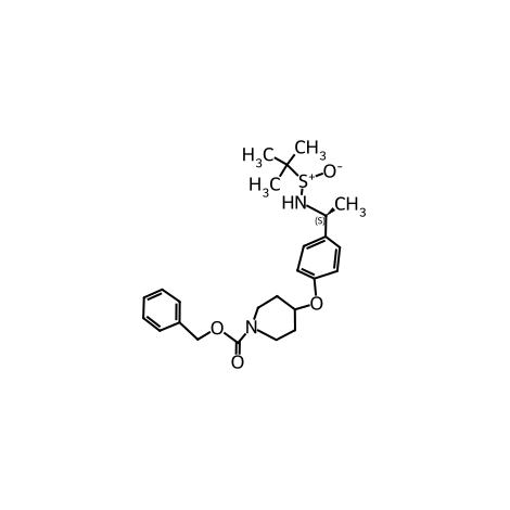 C[C@H](N[S+]([O-])C(C)(C)C)c1ccc(OC2CCN(C(=O)OCc3ccccc3)CC2)cc1